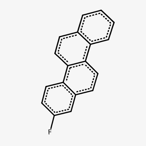 Fc1ccc2c(ccc3c4ccccc4ccc23)c1